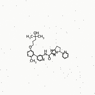 Cc1ccc(OCCCC(C)(C)O)cc1-c1ccnc(NC(=O)c2nc3n(n2)C(c2ccccn2)CC3)c1